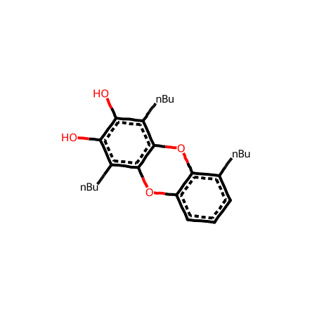 CCCCc1cccc2c1Oc1c(CCCC)c(O)c(O)c(CCCC)c1O2